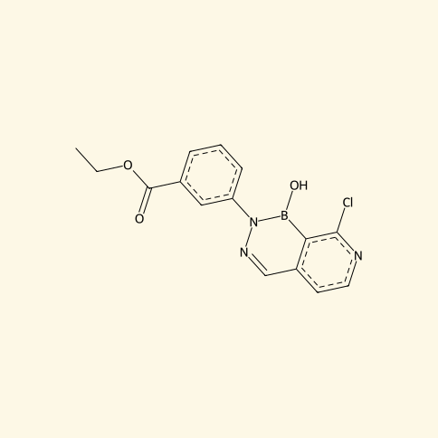 CCOC(=O)c1cccc(N2N=Cc3ccnc(Cl)c3B2O)c1